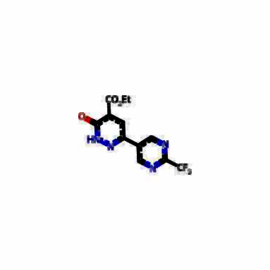 CCOC(=O)c1cc(-c2cnc(C(F)(F)F)nc2)n[nH]c1=O